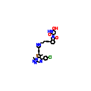 Cc1c(C#Cc2cnn(CCCC#Cc3cccc4c3CN(C3CCC(O)NC3=O)C4=O)c2)sc2c1C(c1ccc(Cl)cc1)=NCc1nnc(C)n1-2